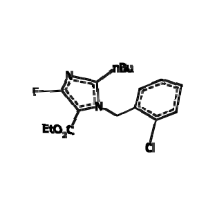 CCCCc1nc(F)c(C(=O)OCC)n1Cc1ccccc1Cl